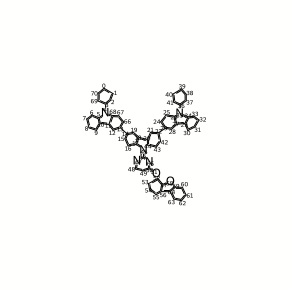 c1ccc(-n2c3ccccc3c3cc(-c4ccc5c(c4)c4cc(-c6ccc7c(c6)c6ccccc6n7-c6ccccc6)ccc4n5-c4nccc(Oc5cccc6c5oc5ccccc56)n4)ccc32)cc1